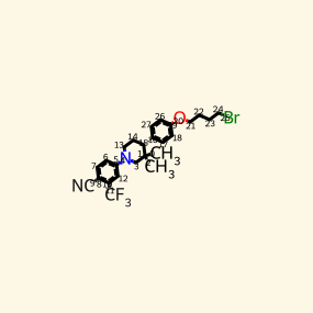 CC1(C)CN(c2ccc(C#N)c(C(F)(F)F)c2)CC[C@@H]1c1ccc(OCCCCBr)cc1